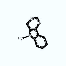 Nn1c2ccccc2c2ncncc21